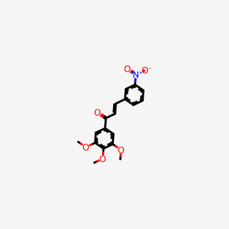 COc1cc(C(=O)/C=C/c2cccc([N+](=O)[O-])c2)cc(OC)c1OC